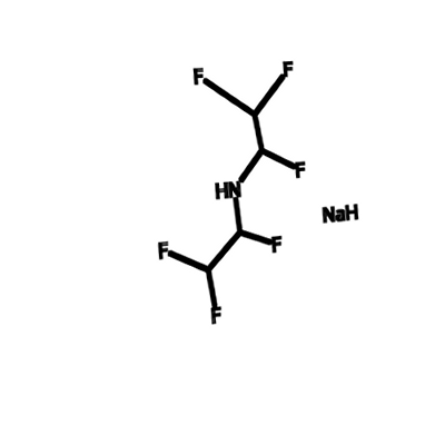 FC(F)C(F)NC(F)C(F)F.[NaH]